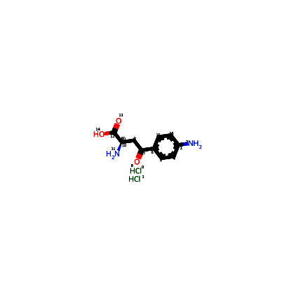 Cl.Cl.Nc1ccc(C(=O)C[C@@H](N)C(=O)O)cc1